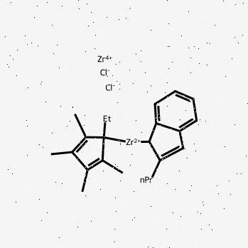 CCCC1=Cc2ccccc2[CH]1[Zr+2][C]1(CC)C(C)=C(C)C(C)=C1C.[Cl-].[Cl-].[Zr+4]